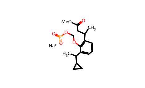 COC(=O)CC(C)c1cccc(C(C)C2CC2)c1OCO[PH](=O)[O-].[Na+]